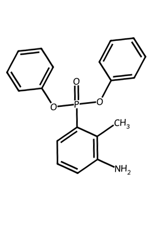 Cc1c(N)cccc1P(=O)(Oc1ccccc1)Oc1ccccc1